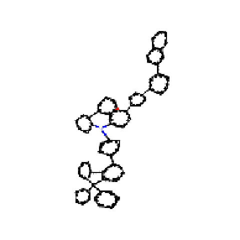 c1ccc(-c2ccccc2N(c2ccc(-c3ccc(-c4cccc(-c5ccc6ccccc6c5)c4)cc3)cc2)c2ccc(-c3cccc4c3-c3ccccc3C4(c3ccccc3)c3ccccc3)cc2)cc1